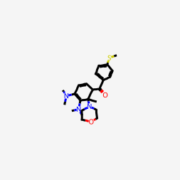 CSc1ccc(C(=O)C2C=CC(N(C)C)=C(N(C)C)C2(C)N2CCOCC2)cc1